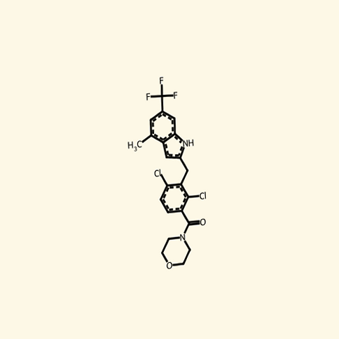 Cc1cc(C(F)(F)F)cc2[nH]c(Cc3c(Cl)ccc(C(=O)N4CCOCC4)c3Cl)cc12